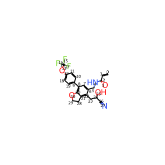 C=CC(=O)NCc1cc(-c2ccc(OC(F)(F)F)cc2)c2c(c1C[C@@H](O)C#N)CCO2